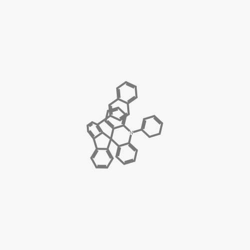 C1=CCCC(N2c3ccccc3C3(c4ccccc4-c4cccc(-c5ccc6ccccc6c5)c43)c3ccccc32)=C1